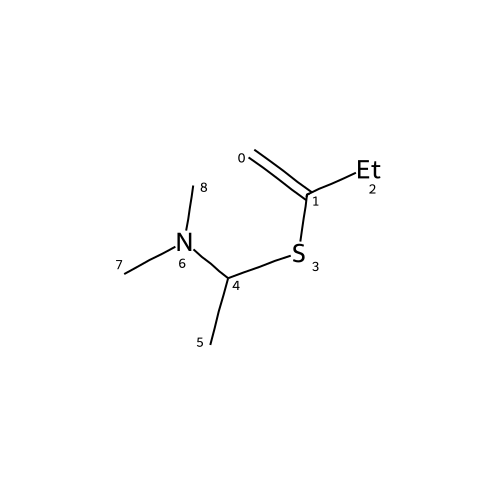 C=C(CC)SC(C)N(C)C